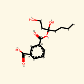 CCCCC(O)(CCO)OC(=O)c1cccc(C(=O)O)c1